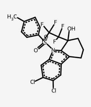 Cc1ccc(S(=O)(=O)n2c3c(c4cc(Cl)c(Cl)cc42)CCCC3(O)C(F)(F)C(F)(F)F)cc1